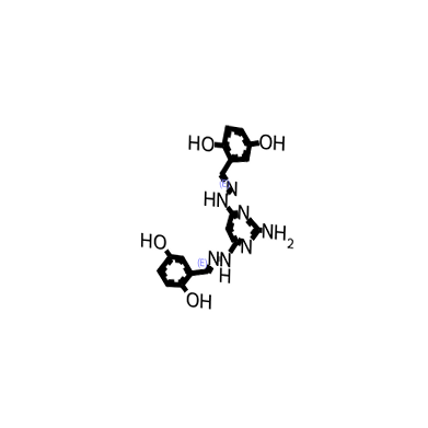 Nc1nc(N/N=C/c2cc(O)ccc2O)cc(N/N=C/c2cc(O)ccc2O)n1